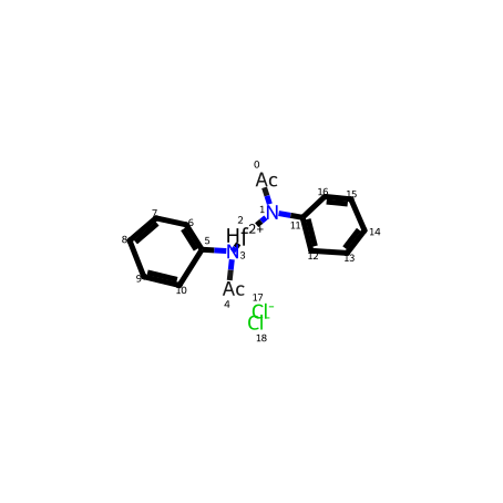 CC(=O)[N]([Hf+2][N](C(C)=O)c1ccccc1)c1ccccc1.[Cl-].[Cl-]